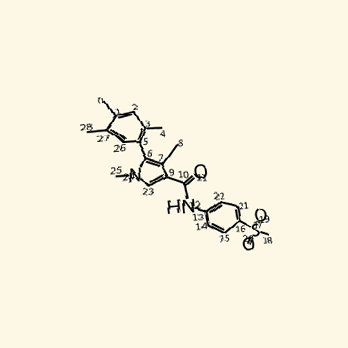 Cc1cc(C)c(-c2c(C)c(C(=O)Nc3ccc(S(C)(=O)=O)cc3)cn2C)cc1C